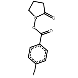 O=C(ON1CCCC1=O)c1ccc(F)cc1